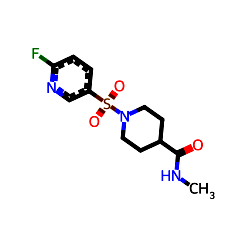 CNC(=O)C1CCN(S(=O)(=O)c2ccc(F)nc2)CC1